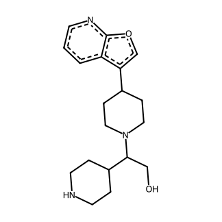 OCC(C1CCNCC1)N1CCC(c2coc3ncccc23)CC1